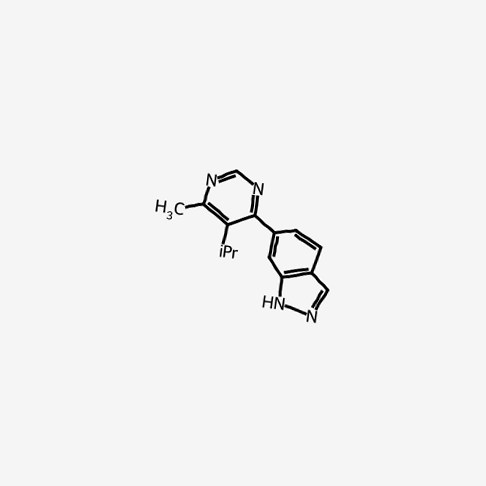 Cc1ncnc(-c2ccc3cn[nH]c3c2)c1C(C)C